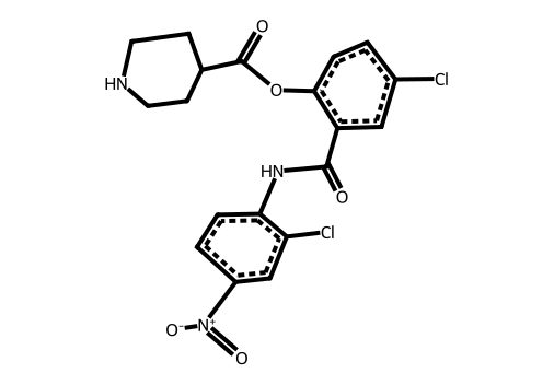 O=C(Nc1ccc([N+](=O)[O-])cc1Cl)c1cc(Cl)ccc1OC(=O)C1CCNCC1